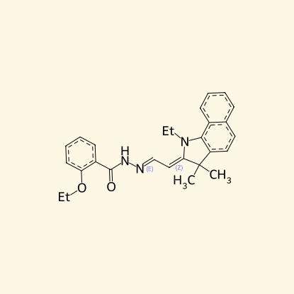 CCOc1ccccc1C(=O)N/N=C/C=C1\N(CC)c2c(ccc3ccccc23)C1(C)C